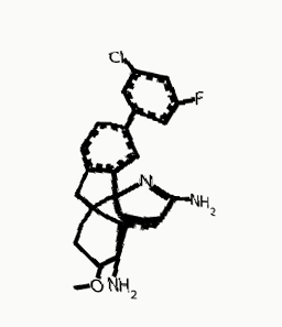 COC1CCC2(CC1)Cc1ccc(-c3cc(F)cc(Cl)c3)cc1C21N=C(N)c2ccc(N)cc21